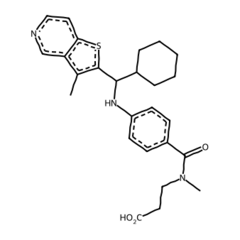 Cc1c(C(Nc2ccc(C(=O)N(C)CCC(=O)O)cc2)C2CCCCC2)sc2ccncc12